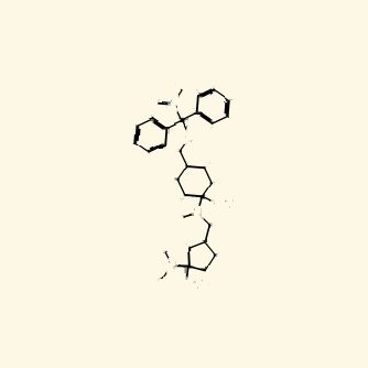 COC1(N(C)C)CCC(CN(C)C2(OC)CCC(COC(c3ccccc3)(c3ccccc3)N(C)C)CC2)C1